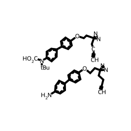 C#CCCC1(CCOc2ccc(-c3ccc(N(C(=O)O)C(C)(C)C)cc3)cc2)N=N1.C#CCCC1(CCOc2ccc(-c3ccc(N)cc3)cc2)N=N1